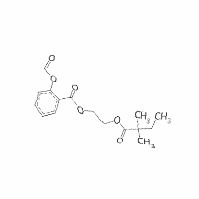 CCC(C)(C)C(=O)OCCOC(=O)c1ccccc1OC=O